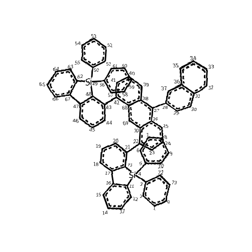 c1ccc([Si]2(c3ccccc3)c3ccccc3-c3cccc(-c4cccc5c(-c6ccc7ccccc7c6)c6cccc(-c7cccc8c7[Si](c7ccccc7)(c7ccccc7)c7ccccc7-8)c6cc45)c32)cc1